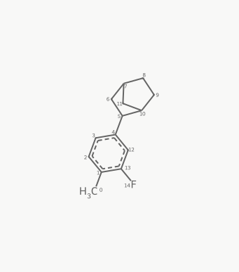 Cc1ccc(C2CC3CCC2C3)cc1F